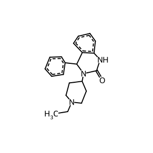 CCN1CCC(N2C(=O)Nc3ccccc3C2c2ccccc2)CC1